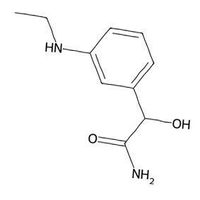 CCNc1cccc(C(O)C(N)=O)c1